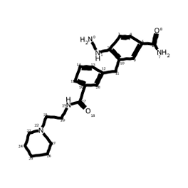 NNc1ccc(C(N)=O)cc1Cc1cccc(C(=O)NCCN2CCCCC2)c1